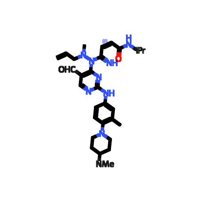 C=CCN(C)N(C(=N)/C=C\C(=O)NC(C)C)c1nc(Nc2ccc(N3CCC(NC)CC3)c(C)c2)ncc1C=O